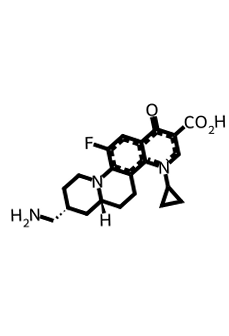 NC[C@@H]1CCN2c3c(F)cc4c(=O)c(C(=O)O)cn(C5CC5)c4c3CC[C@@H]2C1